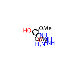 COc1cc(O)cc(OC)c1NC(=O)NC(=N)N